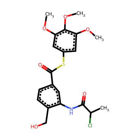 COc1cc(SC(=O)c2ccc(CO)c(NC(=O)C(C)Cl)c2)cc(OC)c1OC